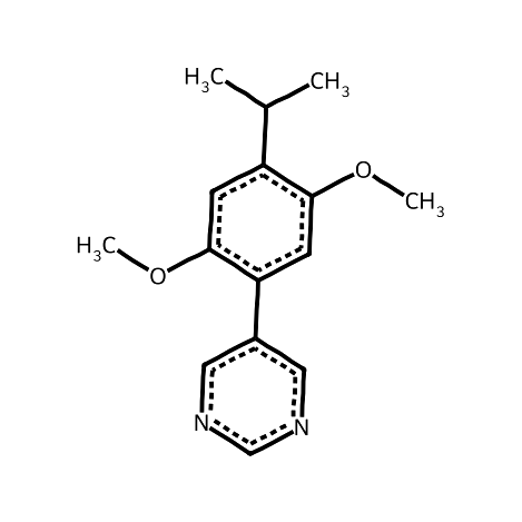 COc1cc(C(C)C)c(OC)cc1-c1cncnc1